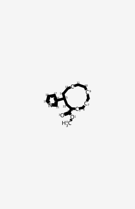 COC(=O)C1CCCCCCCCCCC(c2cccnc2)C1